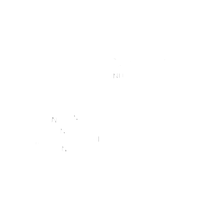 O=C(NCc1ccc(CNc2cc(-c3ccccc3Cl)nc3c(Br)cnn23)cc1)c1ccc(-c2ccccc2)cc1